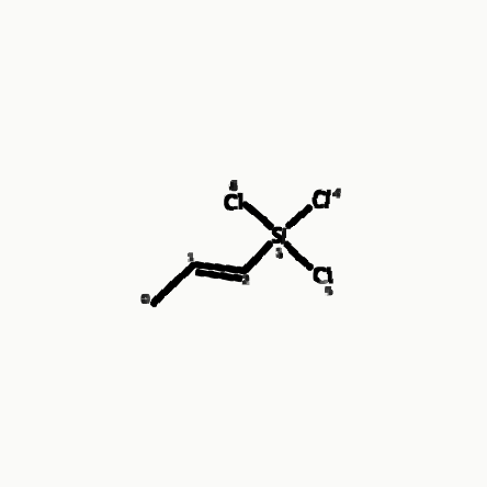 CC=C[Si](Cl)(Cl)Cl